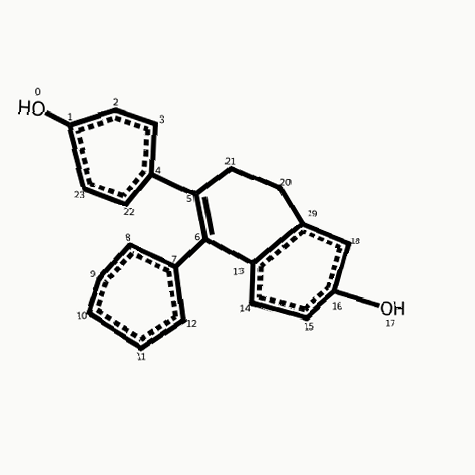 Oc1ccc(C2=C(c3[c]cccc3)c3ccc(O)cc3CC2)cc1